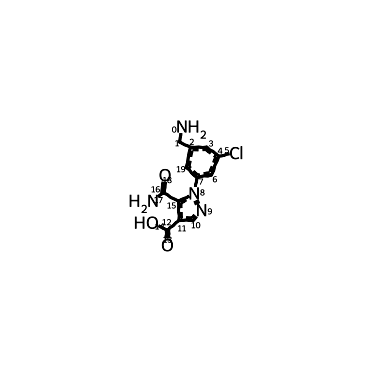 NCc1cc(Cl)cc(-n2ncc(C(=O)O)c2C(N)=O)c1